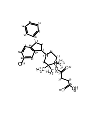 CC1(C)CN(C2C[C@@H](c3ccccc3)c3ccc(Cl)cc32)CC[N+]1(C)OC(=O)CCC(=O)O